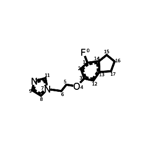 Fc1cc(OCCn2ccnc2)cc2c1CCC2